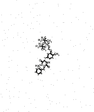 COC(=O)[C@H](Cc1ccc(C)c(OCOP(=O)(OC(C)(C)C)OC(C)(C)C)c1)NC(=O)OCc1ccccc1